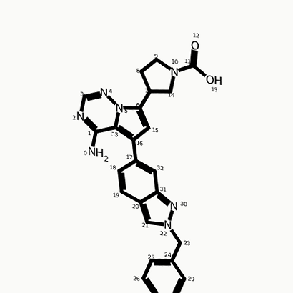 Nc1ncnn2c(C3CCN(C(=O)O)C3)cc(-c3ccc4cn(Cc5ccccc5)nc4c3)c12